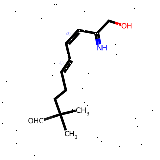 CC(C)(C=O)CC/C=C/C=C\C(=N)CO